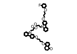 O=C(CCn1c2ccccc2c2ccc(OCCCCOc3cccc(F)c3)cc21)OC(=O)CCn1c2ccccc2c2ccc(OCCCCOc3cccc4c3CCCC4=O)cc21